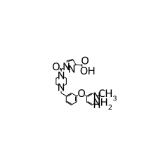 CN/C=C(\C=C/N)Oc1cccc(CN2CCN(C(=O)n3ccc(C(=O)O)n3)CC2)c1